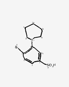 O=S(=O)(O)c1ccc(Br)c(N2CCCCC2)c1